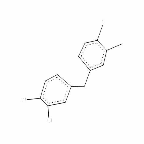 Cc1cc(Cc2ccc(Cl)c(Cl)c2)ccc1F